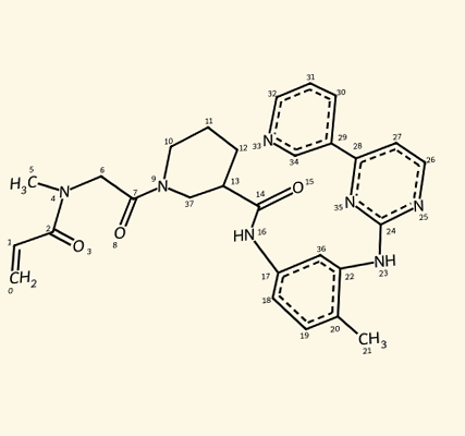 C=CC(=O)N(C)CC(=O)N1CCCC(C(=O)Nc2ccc(C)c(Nc3nccc(-c4cccnc4)n3)c2)C1